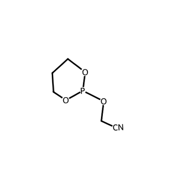 N#CCOP1OCCCO1